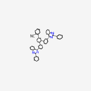 N#Cc1ccccc1-c1ccc(-c2cccc(-c3nc(-c4ccccc4)nc4ccccc34)c2)c(-c2cccc(-c3nc(-c4ccccc4)nc4ccccc34)c2)c1